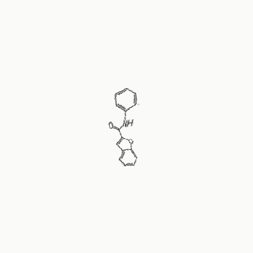 O=C(Nc1[c]cccc1)c1cc2ccccc2o1